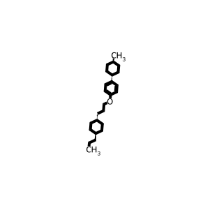 CCC[C@H]1CC[C@H](CCCOc2ccc([C@H]3CC[C@H](C)CC3)cc2)CC1